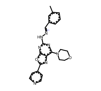 Cc1cccc(/C=N/Nc2nc(N3CCOCC3)c3nc(-c4ccncc4)oc3n2)c1